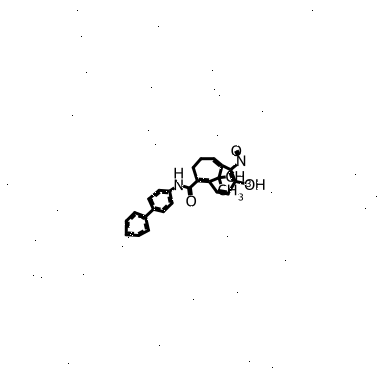 CC1(C)C2=CCCC(C(=O)Nc3ccc(-c4ccccc4)cc3)=C1C=CC(O)=C2N=O